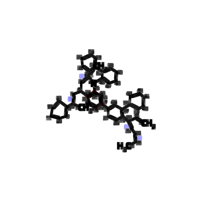 C=C/C(=C/C(/C=C(\C)c1ccccc1)c1ccccc1)N(c1cccc(-c2ccc(/C(C=C)=C/C=C\C)c(-c3ccccc3)c2)c1)c1ccccc1-c1ccccc1